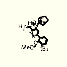 COCOc1c(-c2cc3c(nn2)c(N)nn3C2CC3CCC(C2)N3C(=O)O)cccc1C(C)(C)C